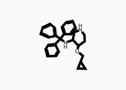 c1ccc(C(NC2CNCCC2OCC2CC2)(c2ccccc2)c2ccccc2)cc1